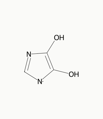 OC1=C(O)N=C[N]1